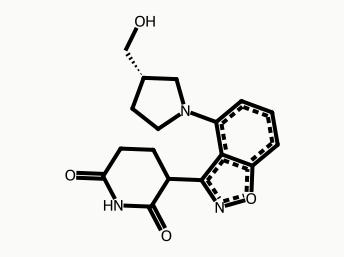 O=C1CCC(c2noc3cccc(N4CC[C@H](CO)C4)c23)C(=O)N1